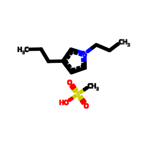 CCCc1ccn(CCC)c1.CS(=O)(=O)O